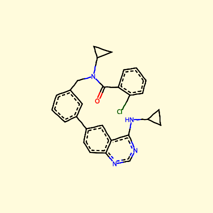 O=C(c1ccccc1Cl)N(Cc1cccc(-c2ccc3ncnc(NC4CC4)c3c2)c1)C1CC1